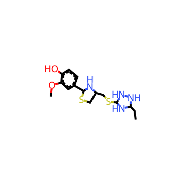 CCC1NNC(SCC2CSC(c3ccc(O)c(OC)c3)N2)N1